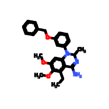 CCc1c(OC)c(OC)cc2c1C(N)=NC(C)N2c1cccc(OCc2ccccc2)c1